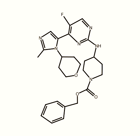 Cc1ncc(-c2nc(NC3CCN(C(=O)OCc4ccccc4)CC3)ncc2F)n1C1CCOCC1